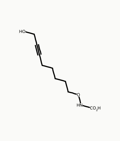 O=C(O)NOCCCCCC#CCO